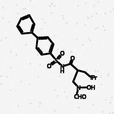 CC(C)CC(CN(O)C=O)C(=O)NS(=O)(=O)c1ccc(-c2ccccc2)cc1